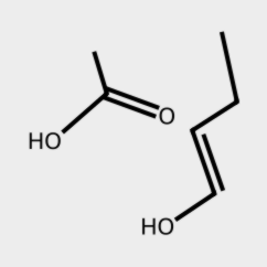 CC(=O)O.CCC=CO